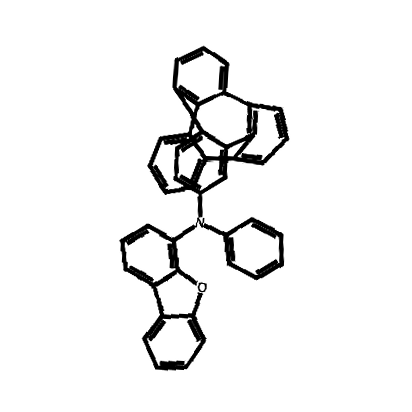 c1ccc(N(c2ccc3c(c2)-c2c4cccc2-c2cccc-3c2-c2ccccc2-4)c2cccc3c2oc2ccccc23)cc1